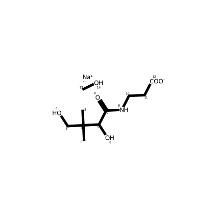 CC(C)(CO)C(O)C(=O)NCCC(=O)[O-].CO.[Na+]